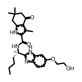 CCCC[C@H](NC(=O)c1[nH]c2c(c1C)C(=O)CC(C)(C)C2)c1nc2ccc(OCCO)cc2[nH]1